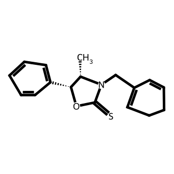 C[C@H]1[C@@H](c2ccccc2)OC(=S)N1CC1=CCCC=C1